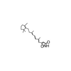 CC1=C(CC/C(C)=C/C=C/C(C)=C/c2cc(=O)[nH]o2)C(C)(C)CCC1